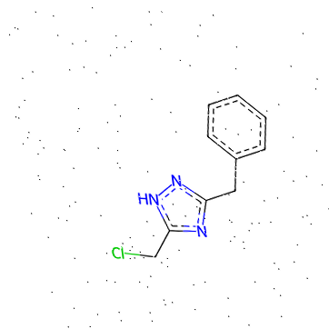 ClCc1nc(Cc2ccccc2)n[nH]1